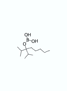 CCCCCC(OB(O)O)(C(C)C)C(C)C